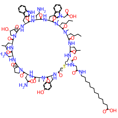 CCCC[C@H]1C(=O)N(C)[C@@H](CCCC)C(=O)N[C@@H](CC(C)C)C(=O)N[C@H](C(=O)NCC(=O)NCCCCCCCCCCCCC(=O)O)CSCC(=O)N[C@@H](Cc2ccc(O)cc2)C(=O)N(C)[C@@H](C)C(=O)N[C@@H](CC(N)=O)C(=O)N2CCC[C@H]2C(=O)N[C@@H](CN)C(=O)N[C@@H](CC(C)C)C(=O)N2C[C@H](O)C[C@H]2C(=O)N[C@@H](Cc2c[nH]c3ccccc23)C(=O)N[C@@H](CCN)C(=O)N[C@@H](Cc2cn(CC(=O)O)c3ccccc23)C(=O)N1C